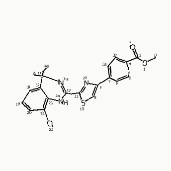 COC(=O)c1ccc(-c2csc(C3=NC(C)(C)c4cccc(Cl)c4N3)n2)cc1